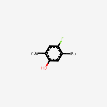 CCCCc1cc(F)c(C(C)CC)cc1O